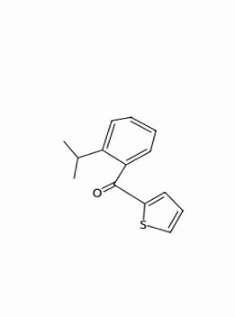 CC(C)c1ccccc1C(=O)c1cccs1